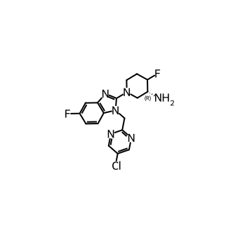 N[C@@H]1CN(c2nc3cc(F)ccc3n2Cc2ncc(Cl)cn2)CCC1F